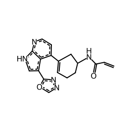 C=CC(=O)NC1CCC=C(c2ccnc3[nH]cc(-c4nnco4)c23)C1